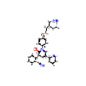 N#Cc1ccccc1-c1cc(-c2ccccn2)cn(-c2ccc(OCCC3CCCNC3)cc2)c1=O